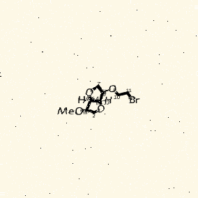 CO[C@@H]1CO[C@H]2[C@@H]1OC[C@H]2OCCBr